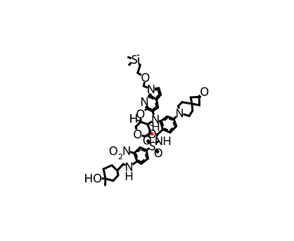 CC1(O)CCC(CNc2ccc(S(=O)(=O)NC(=O)c3ccc(N4CCC5(CC4)CC(=O)C5)cc3N3c4cc5ccn(COCC[Si](C)(C)C)c5nc4O[C@H]4COCC[C@@H]43)cc2[N+](=O)[O-])CC1